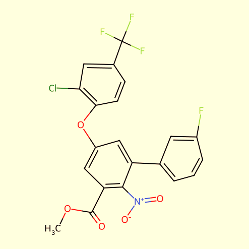 COC(=O)c1cc(Oc2ccc(C(F)(F)F)cc2Cl)cc(-c2cccc(F)c2)c1[N+](=O)[O-]